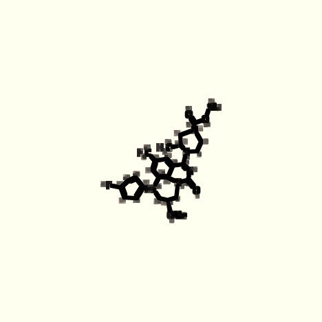 CO[C@@H]1Cn2c(=O)nc(N3CCN(C(=O)OC(C)(C)C)C[C@@H]3C)c3cc(C(F)(F)F)cc(c32)[SH](c2ccc(F)cc2)C1